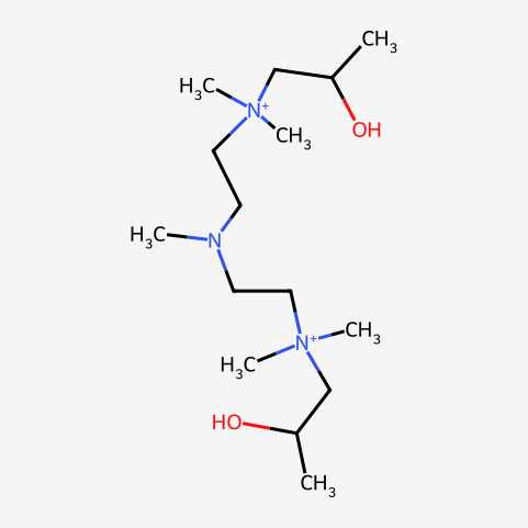 CC(O)C[N+](C)(C)CCN(C)CC[N+](C)(C)CC(C)O